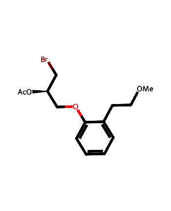 COCCc1ccccc1OC[C@H](CBr)OC(C)=O